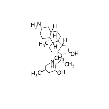 C[C@H]1CN[C@H]([C@@H](C)[C@H]2[C@H](O)C[C@H]3[C@@H]4CC[C@H]5C[C@@H](N)CC[C@]5(C)[C@H]4CC[C@]23C)[C@@H](O)C1